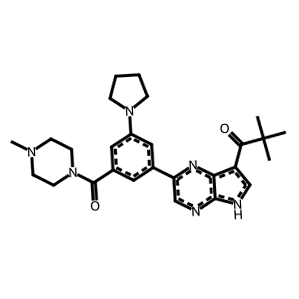 CN1CCN(C(=O)c2cc(-c3cnc4[nH]cc(C(=O)C(C)(C)C)c4n3)cc(N3CCCC3)c2)CC1